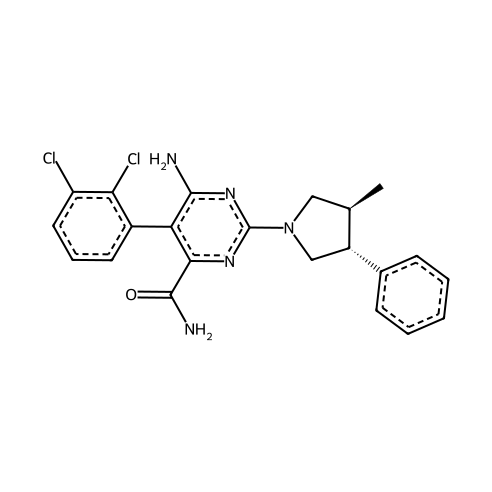 C[C@@H]1CN(c2nc(N)c(-c3cccc(Cl)c3Cl)c(C(N)=O)n2)C[C@H]1c1ccccc1